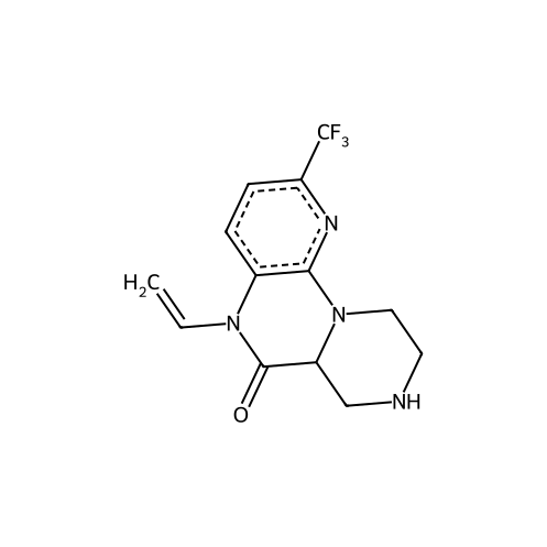 C=CN1C(=O)C2CNCCN2c2nc(C(F)(F)F)ccc21